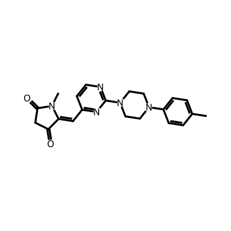 Cc1ccc(N2CCN(c3nccc(/C=C4/C(=O)CC(=O)N4C)n3)CC2)cc1